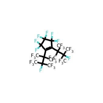 FC(F)(F)C(F)(C(F)(F)F)C(C1=C(C(C(F)(F)F)(C(F)(F)F)C(F)(C(F)(F)F)C(F)(F)F)C(F)(F)C(F)(F)C1(F)F)(C(F)(F)F)C(F)(F)F